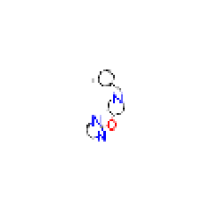 [c]1cccc(CN2CCC(Oc3ncccn3)CC2)c1